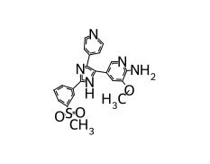 COc1cc(-c2[nH]c(-c3cccc(S(C)(=O)=O)c3)nc2-c2ccncc2)cnc1N